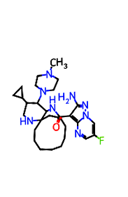 CN1CCN(C2C(C3CC3)CNC3(CCCCCCCCC3)C2NC(=O)c2c(N)nn3cc(F)cnc23)CC1